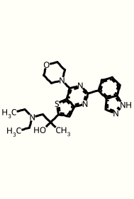 CCN(CC)CC(C)(O)c1cc2nc(-c3cccc4[nH]ncc34)nc(N3CCOCC3)c2s1